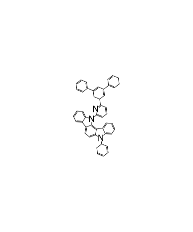 C1=CCC(n2c3ccccc3c3c4c(ccc32)c2ccccc2n4-c2cccc(C3C=C(C4=CCCC=C4)C=C(c4ccccc4)C3)n2)C=C1